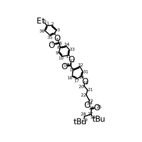 CCc1ccc(OC(=O)c2ccc(OC(=O)c3ccc(OCCCCOC(=O)C(CC(C)(C)C)C(C)(C)C)cc3)cc2)cc1